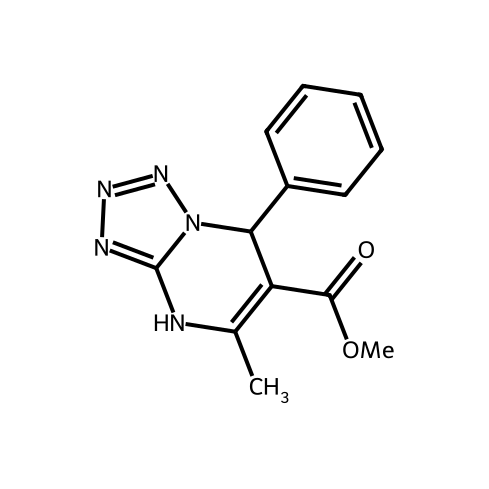 COC(=O)C1=C(C)Nc2nnnn2C1c1ccccc1